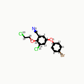 N#Cc1cc(Oc2ccc(Br)cc2)cc(Cl)c1OCCCl